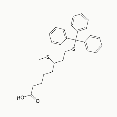 CSC(CCCCC(=O)O)CCSC(c1ccccc1)(c1ccccc1)c1ccccc1